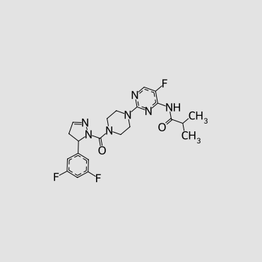 CC(C)C(=O)Nc1nc(N2CCN(C(=O)N3N=CCC3c3cc(F)cc(F)c3)CC2)ncc1F